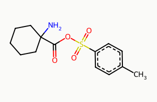 Cc1ccc(S(=O)(=O)OC(=O)C2(N)CCCCC2)cc1